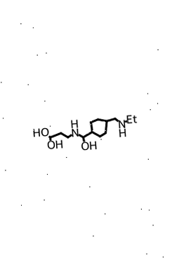 CCNCC1CCC(C(O)NCCC(O)O)CC1